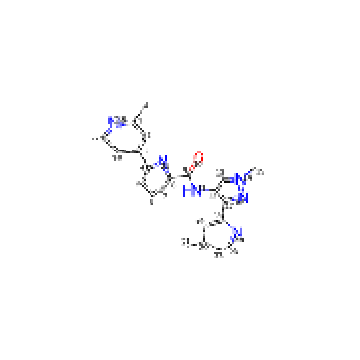 Cc1cc(-c2cccc(C(=O)Nc3cn(C)nc3C3=CC(C)CC=N3)n2)ccn1